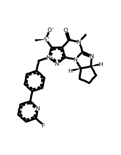 CN1C(=O)c2c(nn(Cc3ccc(-c4cccc(F)n4)cc3)c2[S@@+](C)[O-])N2C1=N[C@@H]1CCC[C@@H]12